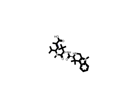 C/C(=C\C(C(C)C)N(C)C(=O)[C@@H](NC(=O)[C@H]1NCc2c(c3ccccc3n2C)C1(C)C)C(C)(C)C)C(=O)O